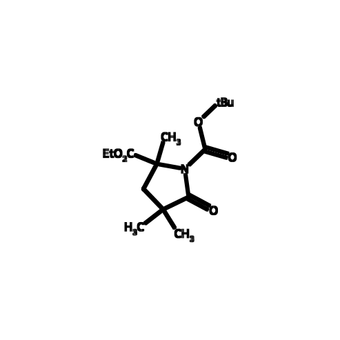 CCOC(=O)C1(C)CC(C)(C)C(=O)N1C(=O)OC(C)(C)C